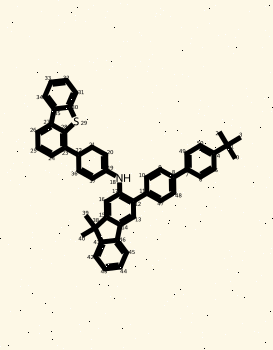 CC(C)(C)c1ccc(-c2ccc(-c3cc4c(cc3NC3=CCC(c5cccc6c5sc5ccccc56)C=C3)C(C)(C)c3ccccc3-4)cc2)cc1